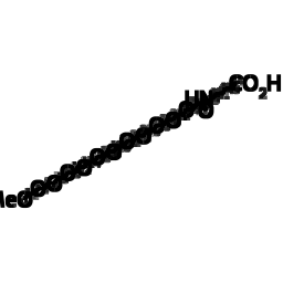 COCCOCCOCCOCCOCCOCCOCCOCCOCCOCCOCCOCCC(=O)NCCCCCC(=O)O